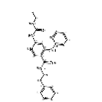 CCNC(=O)Nc1cc(Nc2ccccc2)c(C(=O)NCCc2ccccc2)cn1